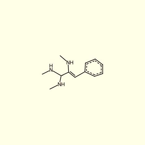 CN[C](NC)C(=Cc1ccccc1)NC